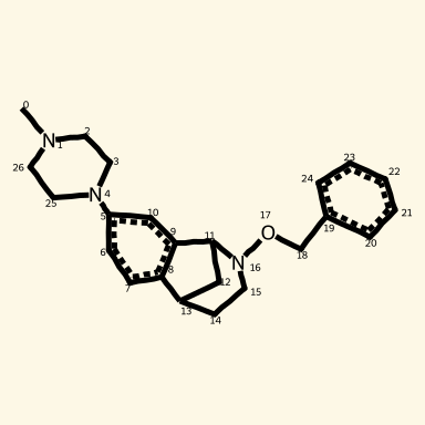 CN1CCN(c2ccc3c(c2)C2CC3CCN2OCc2ccccc2)CC1